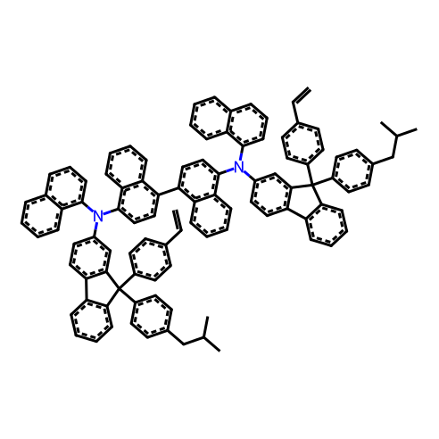 C=Cc1ccc(C2(c3ccc(CC(C)C)cc3)c3ccccc3-c3ccc(N(c4cccc5ccccc45)c4ccc(-c5ccc(N(c6ccc7c(c6)C(c6ccc(C=C)cc6)(c6ccc(CC(C)C)cc6)c6ccccc6-7)c6cccc7ccccc67)c6ccccc56)c5ccccc45)cc32)cc1